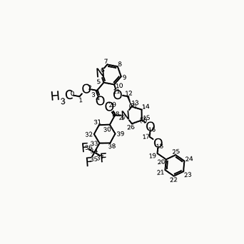 CCOC(=O)c1ncccc1OC[C@H]1C[C@@H](OCOCc2ccccc2)CN1C(=O)C1CCC(C(F)(F)F)CC1